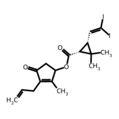 C=CCC1=C(C)C(OC(=O)[C@@H]2[C@H](C=C(I)I)C2(C)C)CC1=O